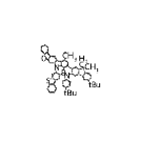 Cc1cc2c3c4c1c1cc5c(cc1n4-c1cc4sc6ccccc6c4cc1B3N(c1ccc(C(C)(C)C)cc1)c1cc3c(cc1-2)C(C)(C)c1ccc(C(C)(C)C)cc1-3)oc1ccccc15